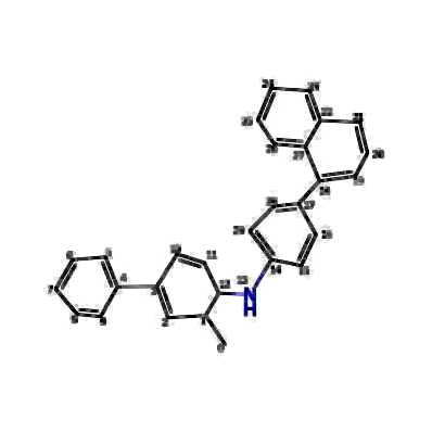 CC1C=C(c2ccccc2)C=CC1Nc1ccc(-c2cccc3ccccc23)cc1